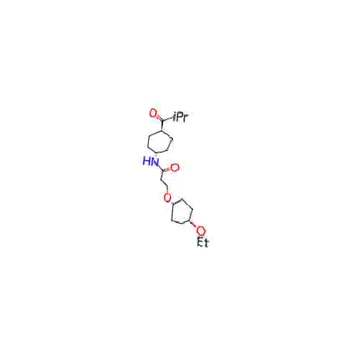 CCO[C@H]1CC[C@H](OCCC(=O)N[C@H]2CC[C@H](C(=O)C(C)C)CC2)CC1